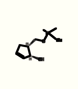 CC(C)(C)[Si](C)(C)OC[C@H]1CC=C[C@H]1O